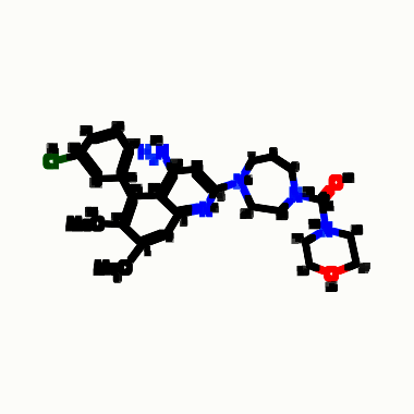 COc1cc2nc(N3CCCN(C(=O)N4CCOCC4)CC3)cc(N)c2c(-c2cccc(Cl)c2)c1OC